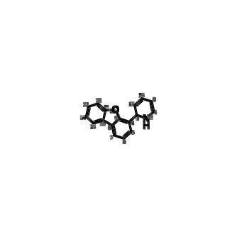 C1=CNC(c2cccc3c2oc2ccccc23)C=C1